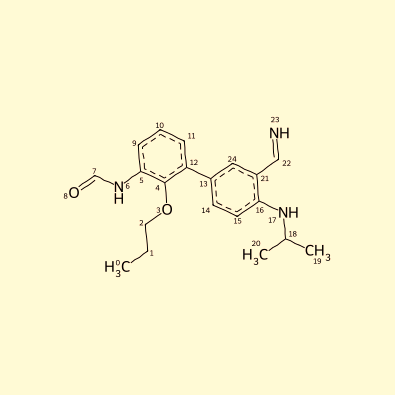 CCCOc1c(NC=O)cccc1-c1ccc(NC(C)C)c(C=N)c1